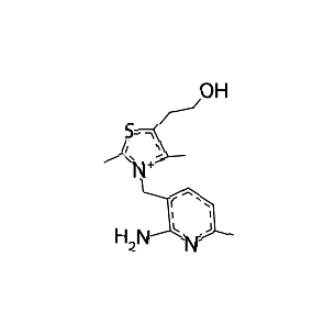 Cc1ccc(C[n+]2c(C)sc(CCO)c2C)c(N)n1